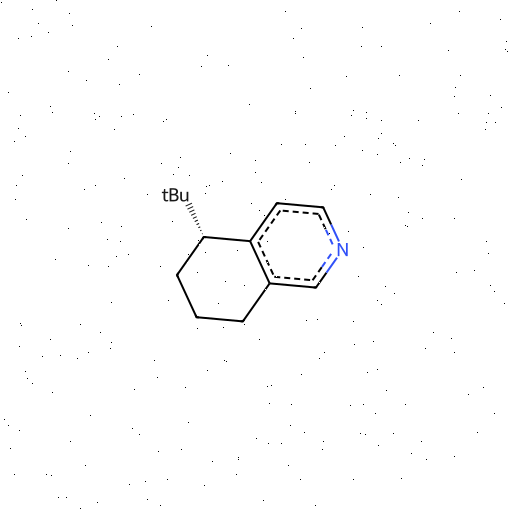 CC(C)(C)[C@H]1CCCc2cnccc21